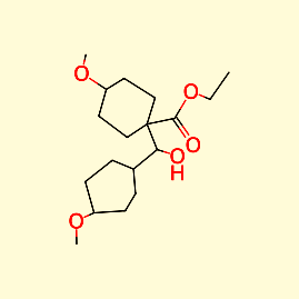 CCOC(=O)C1(C(O)C2CCC(OC)CC2)CCC(OC)CC1